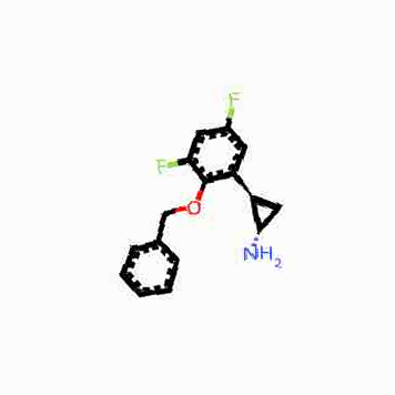 N[C@H]1C[C@@H]1c1cc(F)cc(F)c1OCc1ccccc1